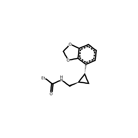 CCC(=O)NC[C@@H]1C[C@H]1c1cccc2c1OCO2